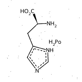 N[C@@H](Cc1cnc[nH]1)C(=O)O.[PoH2]